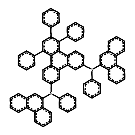 c1ccc(-c2cc(-c3ccccc3)c3c4ccc(N(c5ccccc5)c5cc6ccccc6c6ccccc56)cc4c4cc(N(c5ccccc5)c5cc6ccccc6c6ccccc56)ccc4c3c2-c2ccccc2)cc1